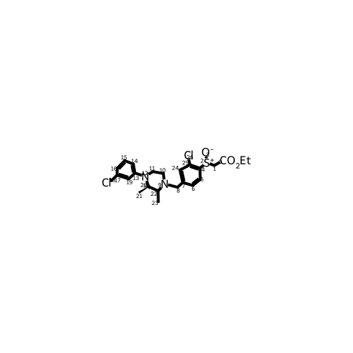 CCOC(=O)C[S+]([O-])c1ccc(CN2CCN(c3cccc(Cl)c3)[C@H](C)C2C)cc1Cl